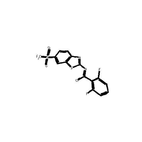 O=S(=O)(c1ccc2nc(N=C(Cl)c3c(F)cccc3F)sc2c1)C(F)(F)F